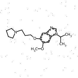 COc1cc2c(cc1OCCCN1CCCC1)ncn2C(C)C